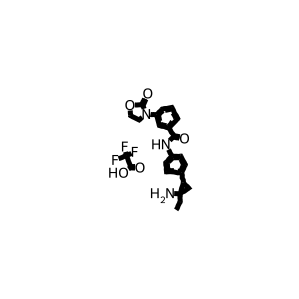 CCC1(N)CC1c1ccc(NC(=O)c2cccc(N3CCOC3=O)c2)cc1.O=C(O)C(F)(F)F